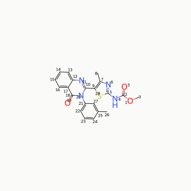 COC(=O)Nc1nc(C)c(-c2nc3ccccc3c(=O)n2-c2cccc(C)c2)s1